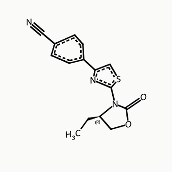 CC[C@@H]1COC(=O)N1c1nc(-c2ccc(C#N)cc2)cs1